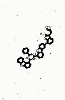 CC/C=C\c1c(C)sc2c(-c3ccc4c(c3)C3C=CC=C(C5NC(c6ccccc6)NC(c6cccc7oc8ccccc8c67)N5)C3O4)cccc12